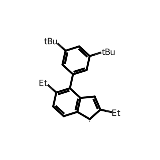 CCC1=Cc2c(ccc(CC)c2-c2cc(C(C)(C)C)cc(C(C)(C)C)c2)[CH]1